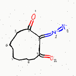 [N-]=[N+]=C1C(=O)CCCCC1=O